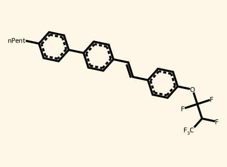 CCCCCc1ccc(-c2ccc(/C=C/c3ccc(OC(F)(F)C(F)C(F)(F)F)cc3)cc2)cc1